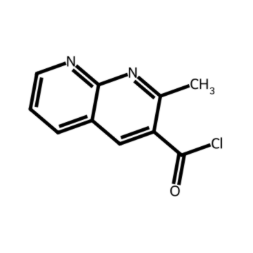 Cc1nc2ncccc2cc1C(=O)Cl